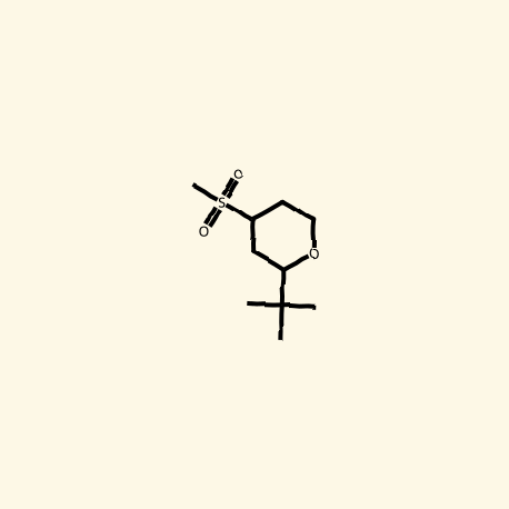 CC(C)(C)C1CC(S(C)(=O)=O)CCO1